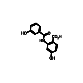 O=C(Nc1cc(O)ccc1C(=O)O)c1cccc(O)c1